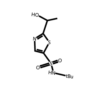 CC(O)c1ncc(S(=O)(=O)NC(C)(C)C)s1